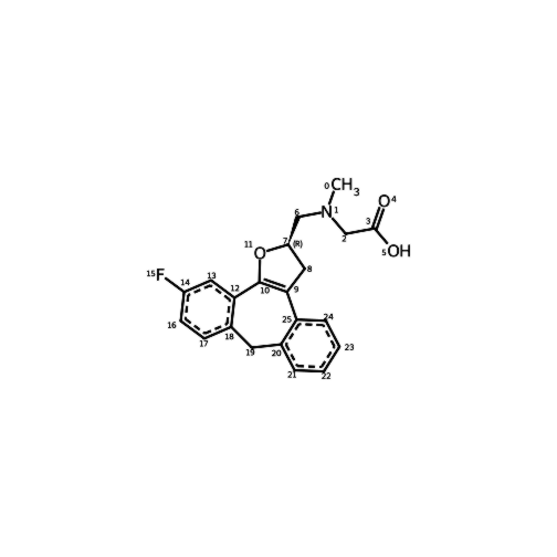 CN(CC(=O)O)C[C@H]1CC2=C(O1)c1cc(F)ccc1Cc1ccccc12